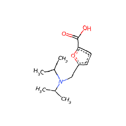 CC(C)N(Cc1ccc(C(=O)O)o1)C(C)C